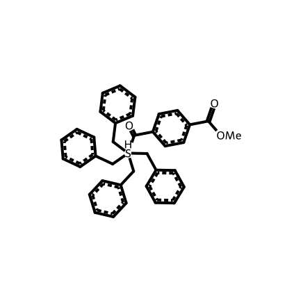 COC(=O)c1ccc(C(=O)[SH](Cc2ccccc2)(Cc2ccccc2)(Cc2ccccc2)Cc2ccccc2)cc1